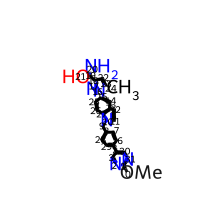 COc1ncc(-c2ccc(Cn3ccc4cc(-n5nc(C(N)O)cc5C)ccc43)cc2)cn1